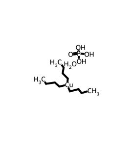 CCC[CH2][Cu]([CH2]CCC)[CH2]CCC.O.O=P(O)(O)O